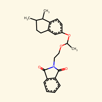 CC(OCCN1C(=O)c2ccccc2C1=O)Oc1ccc2c(c1)CCC(C)C2C